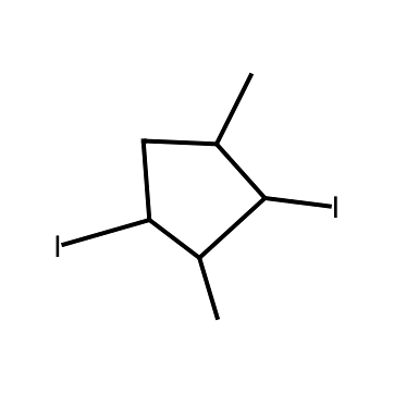 CC1CC(I)C(C)C1I